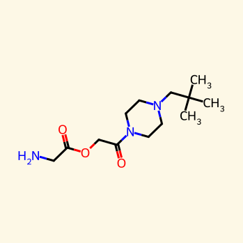 CC(C)(C)CN1CCN(C(=O)COC(=O)CN)CC1